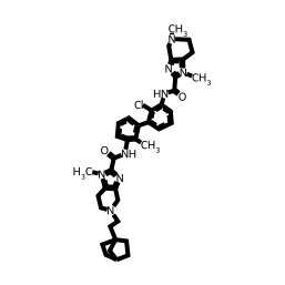 Cc1c(NC(=O)c2nc3c(n2C)CCN(CCC24CCC(CC2)C4)C3)cccc1-c1cccc(NC(=O)c2nc3c(n2C)CCN(C)C3)c1Cl